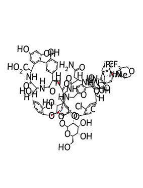 CN[C@@H](CC(C)C)C(=O)N[C@H]1C(=O)N[C@@H](CC(N)=O)C(=O)NC2C(=O)N[C@@H]3C(=O)N[C@@H](C(=O)N[C@@H](C(=O)O)c4cc(O)cc(O)c4-c4cc3ccc4O)[C@H](O)c3ccc(c(Cl)c3)Oc3cc2cc(c3OC2O[C@H](CO)[C@@H](O)[C@@H](O)[C@H]2O[C@H]2CC(C)(NCc3ccc(C(=O)Nc4ccc(N5CCOCC5)c(C(F)(F)F)c4)o3)[C@@H](O)C(C)O2)Oc2ccc(cc2Cl)[C@H]1O